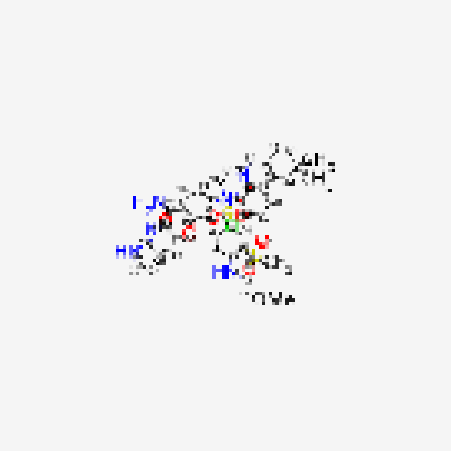 COCCNc1ccc(S(=O)(=O)[N+]2(c3ccc(C(N)=O)c(Oc4cnc5[nH]ccc5c4)c3)CCN(CC3=C(c4ccc(Cl)cc4)CC(C)(C)CC3)CC2)cc1S(=O)(=O)C(F)(F)F